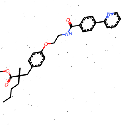 CCCCC(C)(Cc1ccc(OCCNC(=O)c2ccc(-c3ccccn3)cc2)cc1)C(=O)OCC